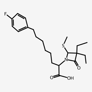 CCC1(CC)C(=O)N(C(CCCCCCc2ccc(F)cc2)C(=O)O)C1SC